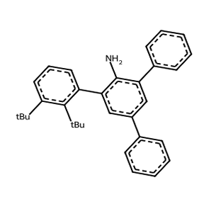 CC(C)(C)c1cccc(-c2cc(-c3ccccc3)cc(-c3ccccc3)c2N)c1C(C)(C)C